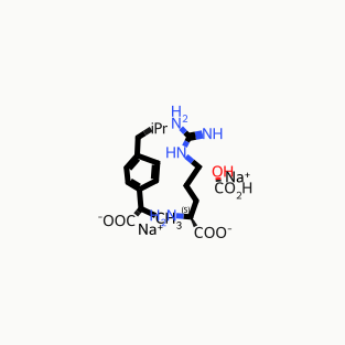 CC(C)Cc1ccc(C(C)C(=O)[O-])cc1.N=C(N)NCCC[C@H](N)C(=O)[O-].O=C(O)O.[Na+].[Na+]